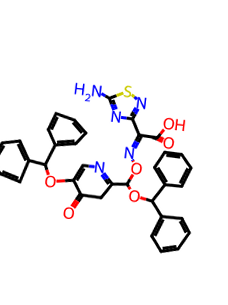 Nc1nc(C(=NOC(OC(c2ccccc2)c2ccccc2)C2=NC=C(OC(c3ccccc3)c3ccccc3)C(=O)C2)C(=O)O)ns1